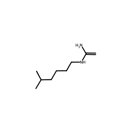 C=C(N)NCCCCC(C)C